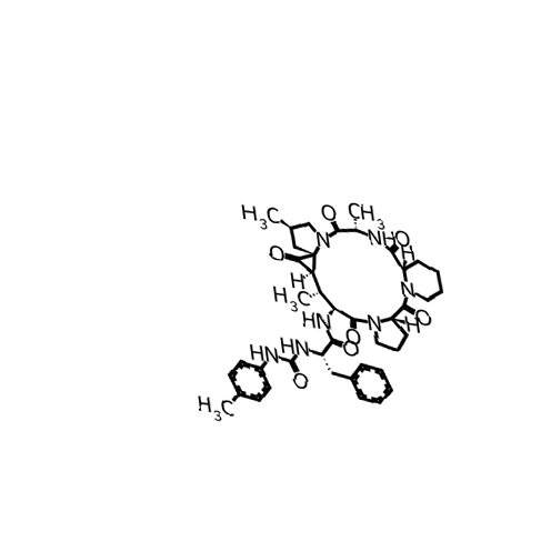 Cc1ccc(NC(=O)N[C@@H](Cc2ccccc2)C(=O)N[C@@H]2C(=O)N3CCC[C@H]3C(=O)N3CCCC[C@H]3C(=O)N[C@@H](C)C(=O)N3C[C@H](C)C[C@@]34C(=O)[C@@H]4[C@H]2C)cc1